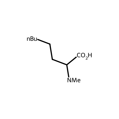 CCCCCCC(NC)C(=O)O